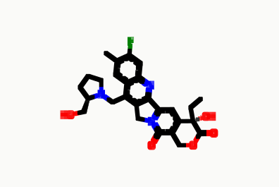 CC[C@@]1(O)C(=O)OCc2c1cc1n(c2=O)Cc2c-1nc1cc(F)c(C)cc1c2CN1CCC[C@@H]1CO